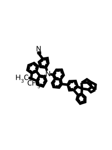 CC1(C)c2ccccc2-c2c(N(c3ccc(C#N)cc3)c3cccc4c(-c5ccc6c(c5)-c5ccccc5C65C6CC7CC(C6)CC5C7)cccc34)cccc21